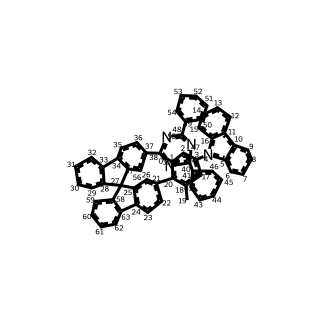 Cc1cc(-n2c3ccccc3c3ccccc32)cc(C)c1-c1ccc2c(c1)C1(c3ccccc3-c3ccc(-c4nc(-c5ccccc5)nc(-c5ccccc5)n4)cc31)c1ccccc1-2